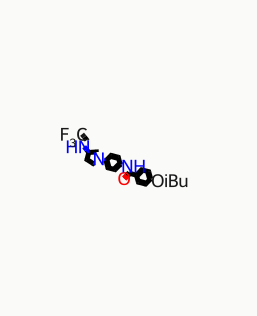 CC(C)COc1ccc(C(=O)Nc2ccc(N3CCC(NCC(F)(F)F)C3)cc2)cc1